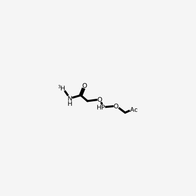 [3H]NC(=O)COPOCC(C)=O